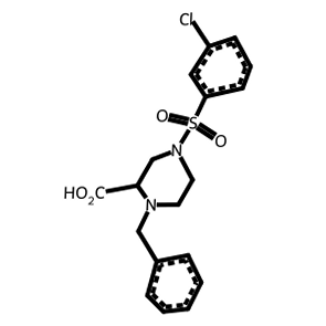 O=C(O)C1CN(S(=O)(=O)c2cccc(Cl)c2)CCN1Cc1ccccc1